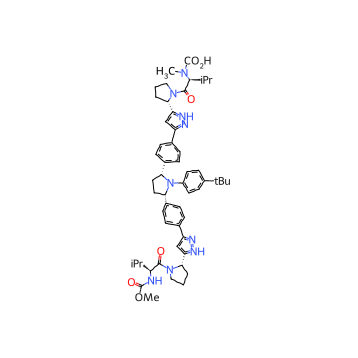 COC(=O)N[C@H](C(=O)N1CCC[C@H]1c1cc(-c2ccc([C@@H]3CC[C@H](c4ccc(-c5cc([C@@H]6CCCN6C(=O)[C@H](C(C)C)N(C)C(=O)O)[nH]n5)cc4)N3c3ccc(C(C)(C)C)cc3)cc2)n[nH]1)C(C)C